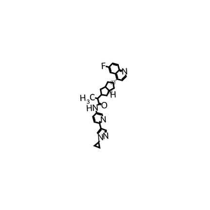 CC(C(=O)Nc1ccc(-c2cnn(C3CC3)c2)nc1)C1CC2C[C@H](c3ccnc4ccc(F)cc34)C[C@@H]2C1